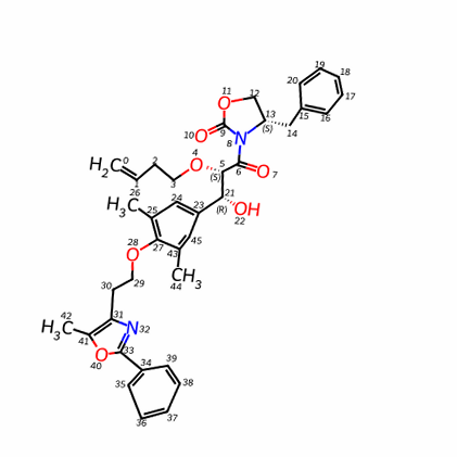 C=CCCO[C@H](C(=O)N1C(=O)OC[C@@H]1Cc1ccccc1)[C@H](O)c1cc(C)c(OCCc2nc(-c3ccccc3)oc2C)c(C)c1